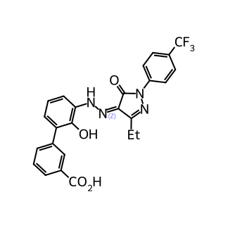 CCC1=NN(c2ccc(C(F)(F)F)cc2)C(=O)/C1=N\Nc1cccc(-c2cccc(C(=O)O)c2)c1O